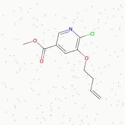 C=CCCOc1cc(C(=O)OC)cnc1Cl